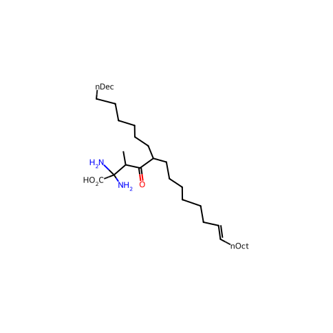 CCCCCCCCC=CCCCCCCC(CCCCCCCCCCCCCCCC)C(=O)C(C)C(N)(N)C(=O)O